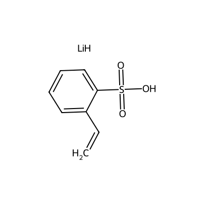 C=Cc1ccccc1S(=O)(=O)O.[LiH]